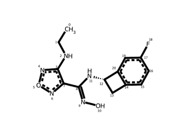 CCNc1nonc1/C(=N/O)N[C@H]1Cc2ccc(F)cc21